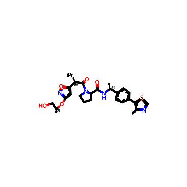 Cc1ncsc1-c1ccc([C@H](C)NC(=O)C2CCCN2C(=O)[C@@H](c2cc(O[C@@H](C)CO)no2)C(C)C)cc1